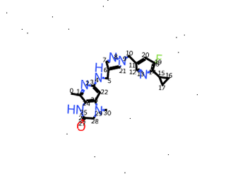 Cc1nc(NCc2cnn(Cc3cnc(C4CC4)c(F)c3)c2)cc2c1NC(=O)CN2C